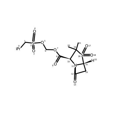 CC(C)CS(=O)(=O)OCOC(=O)[C@@H]1N2C(=O)C[C@H]2S(=O)(=O)C1(C)C